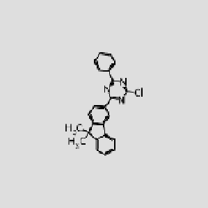 CC1(C)c2ccccc2-c2cc(-c3nc(Cl)nc(-c4ccccc4)n3)ccc21